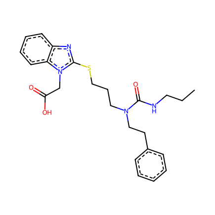 CCCNC(=O)N(CCCSc1nc2ccccc2n1CC(=O)O)CCc1ccccc1